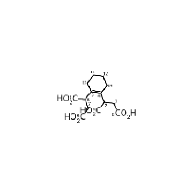 O=C(O)CC(C(=O)O)C1=C(C(CC(=O)O)C(=O)O)CCCC1